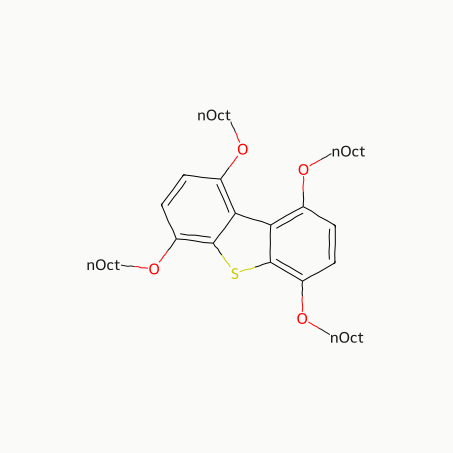 CCCCCCCCOc1ccc(OCCCCCCCC)c2c1sc1c(OCCCCCCCC)ccc(OCCCCCCCC)c12